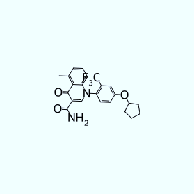 Cc1cccc2c1c(=O)c(C(N)=O)cn2-c1ccc(OC2CCCC2)cc1C(F)(F)F